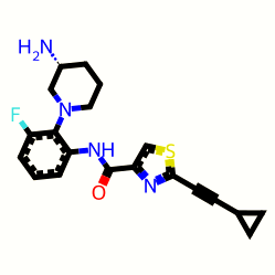 N[C@@H]1CCCN(c2c(F)cccc2NC(=O)c2csc(C#CC3CC3)n2)C1